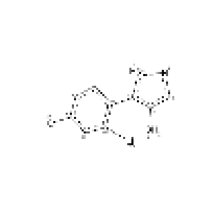 Bc1cn[nH]c1-c1ccc(C)cc1Cl